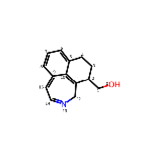 OCC1CCc2cccc3c2=C1CN=CC=3